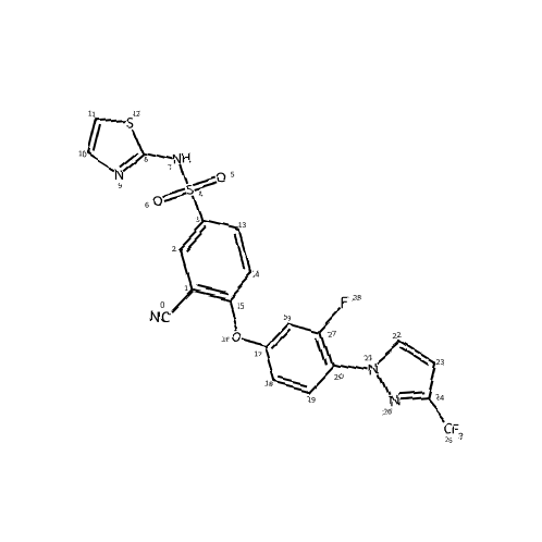 N#Cc1cc(S(=O)(=O)Nc2nccs2)ccc1Oc1ccc(-n2ccc(C(F)(F)F)n2)c(F)c1